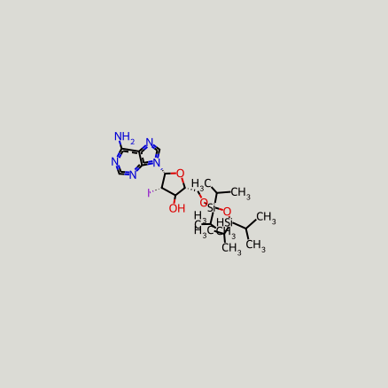 CC(C)[SiH](O[Si](OC[C@H]1O[C@@H](n2cnc3c(N)ncnc32)[C@@H](I)C1O)(C(C)C)C(C)C)C(C)C